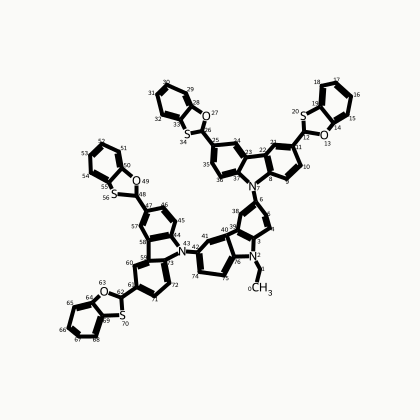 CCn1c2ccc(-n3c4ccc(C5Oc6ccccc6S5)cc4c4cc(C5Oc6ccccc6S5)ccc43)cc2c2cc(-n3c4ccc(C5Oc6ccccc6S5)cc4c4cc(C5Oc6ccccc6S5)ccc43)ccc21